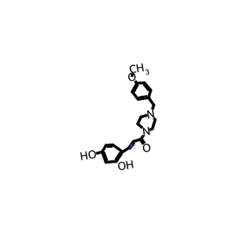 COc1ccc(CN2CCN(C(=O)/C=C/c3ccc(O)cc3O)CC2)cc1